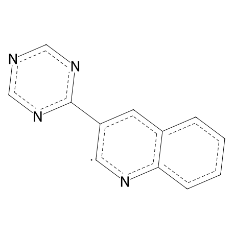 [c]1nc2ccccc2cc1-c1ncncn1